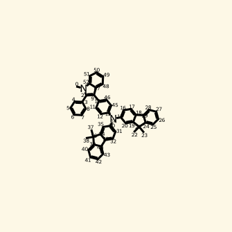 Cn1c(-c2ccccc2)c(-c2ccc(N(c3ccc4c(c3)C(C)(C)c3ccccc3-4)c3ccc4c(c3)C(C)(C)c3ccccc3-4)cc2)c2ccccc21